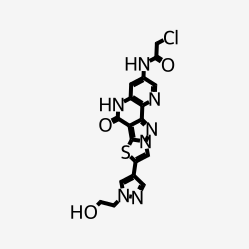 O=C(CCl)Nc1cnc2c(c1)[nH]c(=O)c1c2nn2cc(-c3cnn(CCO)c3)sc12